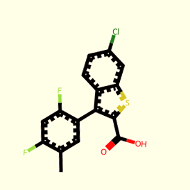 Cc1cc(-c2c(C(=O)O)sc3cc(Cl)ccc23)c(F)cc1F